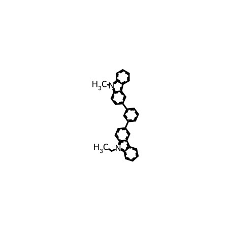 CCn1c2ccccc2c2cc(-c3cccc(-c4ccc5c(c4)c4ccccc4n5C)c3)ccc21